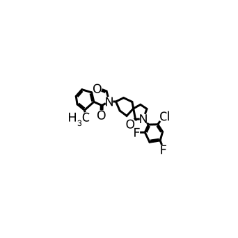 Cc1ccccc1C(=O)N(C=O)C1CCC2(CC1)CCN(c1c(F)cc(F)cc1Cl)C2=O